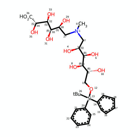 CN(C[C@H](O)[C@@H](O)[C@H](O)[C@H](O)CO[Si](c1ccccc1)(c1ccccc1)C(C)(C)C)C[C@H](O)[C@@H](O)[C@H](O)[C@H](O)C(=O)O